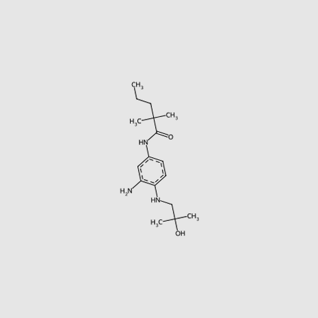 CCCC(C)(C)C(=O)Nc1ccc(NCC(C)(C)O)c(N)c1